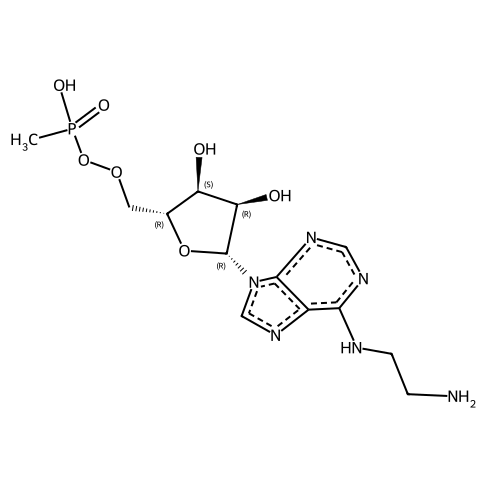 CP(=O)(O)OOC[C@H]1O[C@@H](n2cnc3c(NCCN)ncnc32)[C@H](O)[C@@H]1O